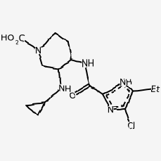 CCc1[nH]c(C(=O)NC2CCN(C(=O)O)CC2NC2CC2)nc1Cl